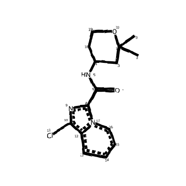 CC1(C)CC(NC(=O)c2nc(Cl)c3ccccn23)CCO1